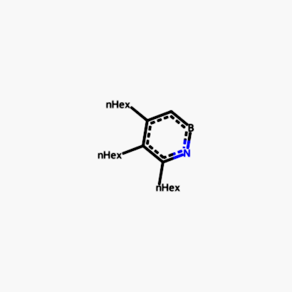 CCCCCCc1cbnc(CCCCCC)c1CCCCCC